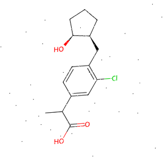 CC(C(=O)O)c1ccc(C[C@@H]2CCC[C@@H]2O)c(Cl)c1